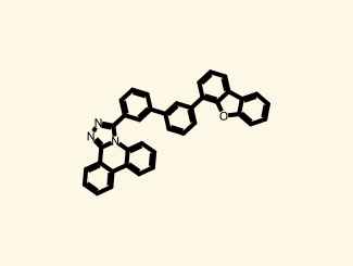 c1cc(-c2cccc(-c3nnc4c5ccccc5c5ccccc5n34)c2)cc(-c2cccc3c2oc2ccccc23)c1